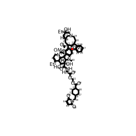 CCC1=CCN2CC[C@]34c5cc([C@@]6(C(=O)OC)C[C@H]7CN(CCc8c6[nH]c6ccccc86)C[C@](O)(CC)C7)c(OC)cc5N(C)C3[C@@](O)(C(=O)NNC(=O)OCOC(=O)C3CCC(CN5C(=O)C=CC5=O)CC3)[C@H](O)C1[C@H]24